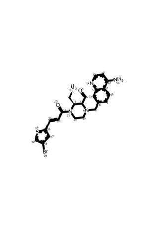 CC[C@H]1C(C=O)N(Cc2ccc3c(N)ccnc3c2)CCN1C(=O)C=Cc1cc(Br)cs1